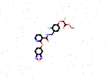 C[C@@H](Oc1ccc(CNC(=O)c2cccnc2Oc2ccc3nonc3c2)c(F)c1)C(=O)OC(C)(C)C